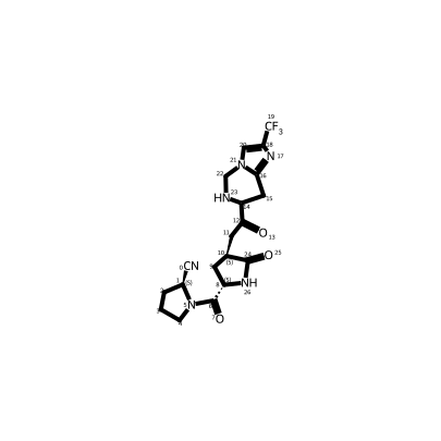 N#C[C@@H]1CCCN1C(=O)[C@@H]1C[C@@H](CC(=O)C2Cc3nc(C(F)(F)F)cn3CN2)C(=O)N1